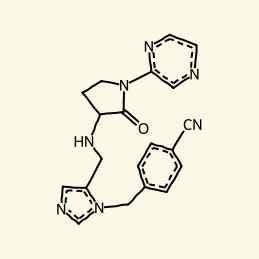 N#Cc1ccc(Cn2cncc2CNC2CCN(c3cnccn3)C2=O)cc1